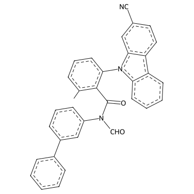 Cc1cccc(-n2c3ccccc3c3ccc(C#N)cc32)c1C(=O)N(C=O)c1cccc(-c2ccccc2)c1